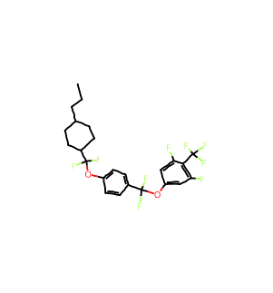 CCCC1CCC(C(F)(F)Oc2ccc(C(F)(F)Oc3cc(F)c(C(F)(F)F)c(F)c3)cc2)CC1